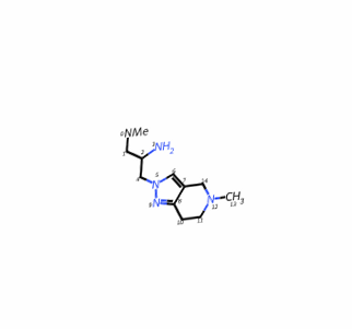 CNCC(N)Cn1cc2c(n1)CCN(C)C2